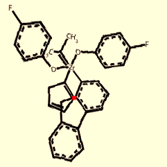 C[C](C)=[Zr]([O]c1ccc(F)cc1)([O]c1ccc(F)cc1)([C]1=CC=CC1)[c]1cccc2c1Cc1ccccc1-2